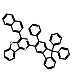 c1ccc(-c2cc3c(cc2-c2nc(-c4ccc5ccccc5c4)c4oc5ccccc5c4n2)-c2ccccc2C3(c2ccccc2)c2ccccc2)cc1